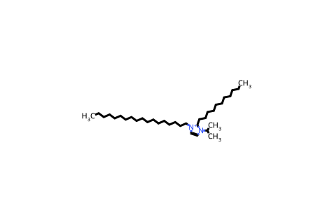 CCCCCCCCCCCCCCCCCC[n+]1ccn(C(C)C)c1CCCCCCCCCCC